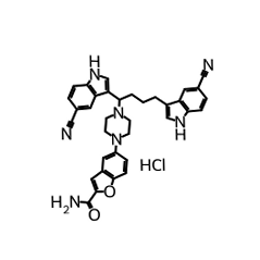 Cl.N#Cc1ccc2[nH]cc(CCCC(c3c[nH]c4ccc(C#N)cc34)N3CCN(c4ccc5oc(C(N)=O)cc5c4)CC3)c2c1